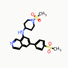 CS(=O)(=O)c1ccc(-c2cc(NC3CCN(S(C)(=O)=O)CC3)c3cnccc3c2)cc1